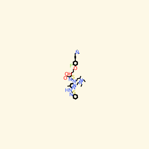 CCN(CC)N(CC)C(C)CCN(c1cc(C)c(Nc2nc3ccccc3s2)nn1)c1nc(C(=O)O)c(CCCOc2ccc(C#CCN(C)C)cc2F)s1